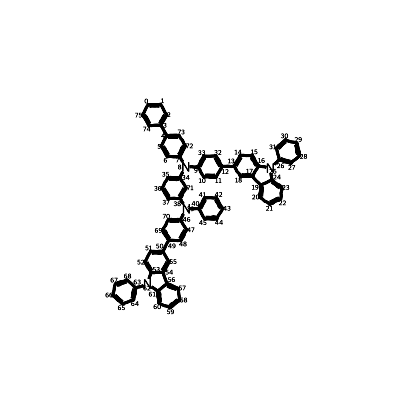 c1ccc(-c2ccc(N(c3ccc(-c4ccc5c(c4)c4ccccc4n5-c4ccccc4)cc3)c3cccc(N(c4ccccc4)c4ccc(-c5ccc6c(c5)c5ccccc5n6-c5ccccc5)cc4)c3)cc2)cc1